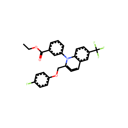 CCOC(=O)c1cccc(N2C(COc3ccc(F)cc3)=C=Cc3cc(C(F)(F)F)ccc32)c1